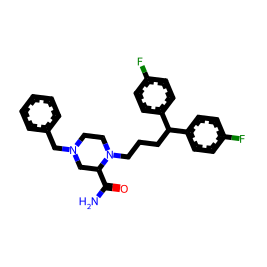 NC(=O)C1CN(Cc2ccccc2)CCN1CCCC(c1ccc(F)cc1)c1ccc(F)cc1